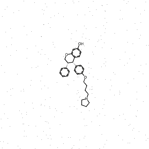 Oc1ccc2c(c1)OC[C@@H](c1ccccc1)[C@H]2c1ccc(OCCCCN2CCCC2)cc1